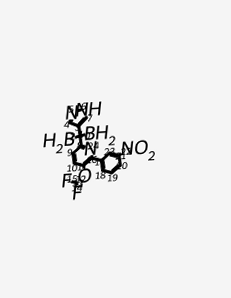 BC(B)(c1cn[nH]c1)c1ccc(OC(F)F)c(-c2cccc([N+](=O)[O-])c2)n1